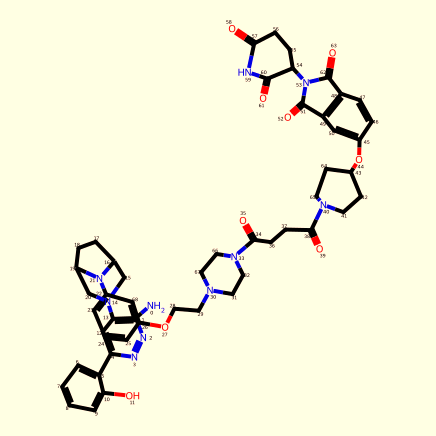 Nc1nnc(-c2ccccc2O)cc1N1CC2CCC(C1)N2c1cccc(OCCN2CCN(C(=O)CCC(=O)N3CCC(Oc4ccc5c(c4)C(=O)N(C4CCC(=O)NC4=O)C5=O)CC3)CC2)c1